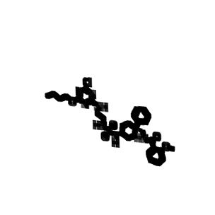 CCCCOc1nc(Cl)nc(NCCNS(=O)(=O)N[C@H]2CC[C@](CNC(=O)c3ccccc3OC)(c3ccccc3)CC2)n1